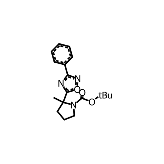 CC(C)(C)OC(=O)N1CCCC1(C)c1nc(-c2ccccc2)no1